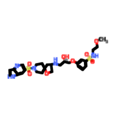 COCCNS(=O)(=O)c1cccc(OC[C@@H](O)CNC2COC3(CCN(S(=O)(=O)c4cnc5cc[nH]c5c4)CC3)C2)c1